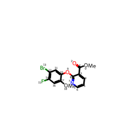 COC(=O)c1cccnc1Oc1cc(Br)c(F)cc1OC